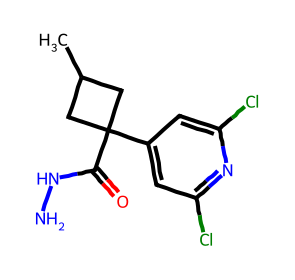 CC1CC(C(=O)NN)(c2cc(Cl)nc(Cl)c2)C1